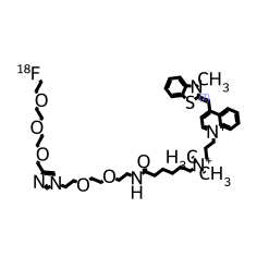 CN1/C(=C/c2cc[n+](CCC[N+](C)(C)CCCCCC(=O)NCCOCCOCCn3cnc(COCCOCCOCC[18F])c3)c3ccccc23)Sc2ccccc21